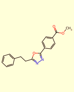 COC(=O)c1ccc(-c2nnc(CCc3ccccc3)o2)cc1